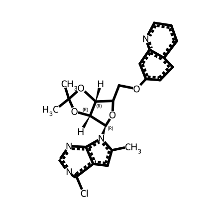 Cc1cc2c(Cl)ncnc2n1[C@@H]1OC(COc2ccc3cccnc3c2)[C@H]2OC(C)(C)O[C@H]21